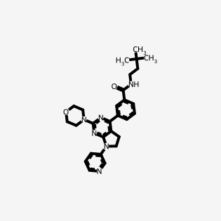 CC(C)(C)CCNC(=O)c1cccc(-c2nc(N3CCOCC3)nc3c2CCN3c2cccnc2)c1